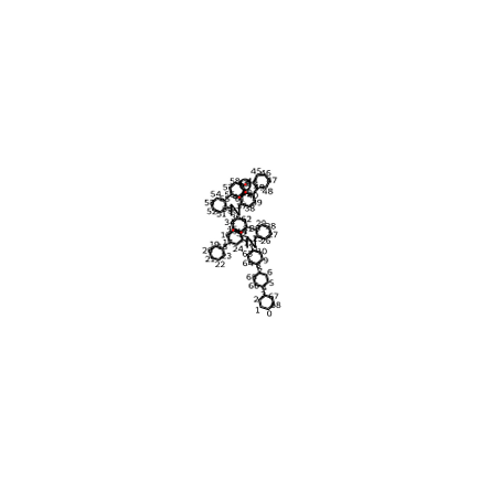 c1ccc(-c2ccc(-c3ccc(N(c4cccc(-c5ccccc5)c4)c4ccccc4-c4cccc(N(c5ccc6c(c5)oc5ccccc56)c5ccccc5-c5ccccc5)c4)cc3)cc2)cc1